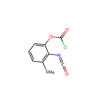 CSc1cccc(OC(=O)Cl)c1N=C=O